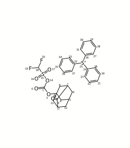 O=C(OC12CC3CC(C1)C(=O)C(C3)C2)OS(=O)(=O)C(F)F.c1ccc([S+](c2ccccc2)c2ccccc2)cc1